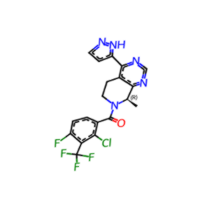 C[C@@H]1c2ncnc(-c3ccn[nH]3)c2CCN1C(=O)c1ccc(F)c(C(F)(F)F)c1Cl